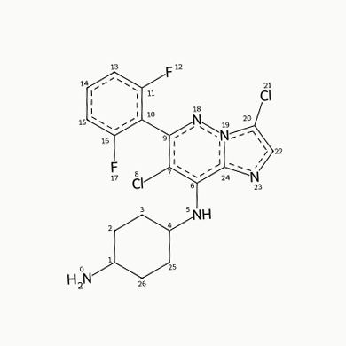 NC1CCC(Nc2c(Cl)c(-c3c(F)cccc3F)nn3c(Cl)cnc23)CC1